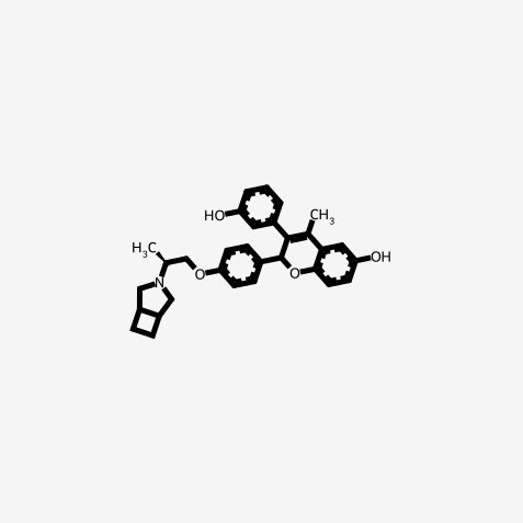 CC1=C(c2cccc(O)c2)C(c2ccc(OC[C@H](C)N3CC4CCC4C3)cc2)Oc2ccc(O)cc21